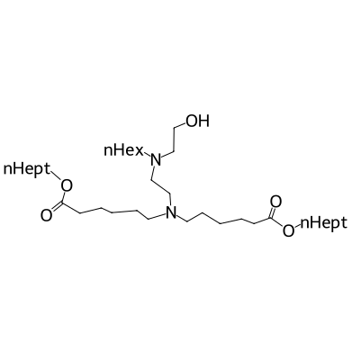 CCCCCCCOC(=O)CCCCCN(CCCCCC(=O)OCCCCCCC)CCN(CCO)CCCCCC